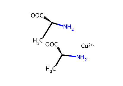 C[C@H](N)C(=O)[O-].C[C@H](N)C(=O)[O-].[Cu+2]